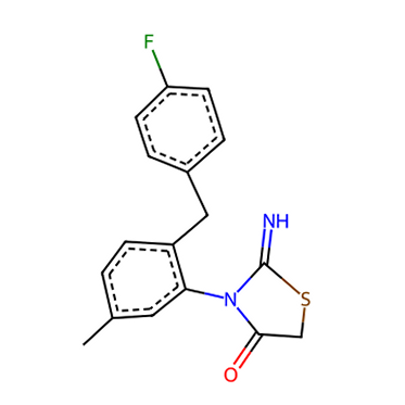 Cc1ccc(Cc2ccc(F)cc2)c(N2C(=N)SCC2=O)c1